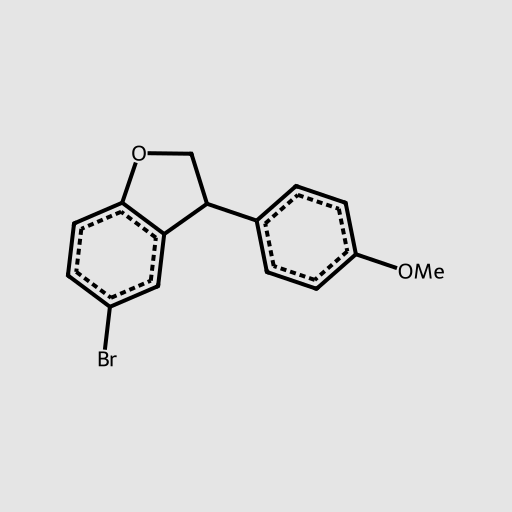 COc1ccc(C2COc3ccc(Br)cc32)cc1